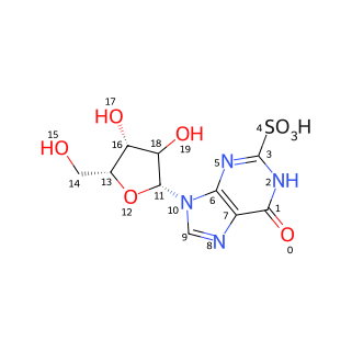 O=c1[nH]c(S(=O)(=O)O)nc2c1ncn2[C@@H]1O[C@H](CO)[C@H](O)C1O